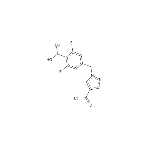 CCC(=O)c1cnn(Cc2cc(F)c(C(O)O)c(F)c2)c1